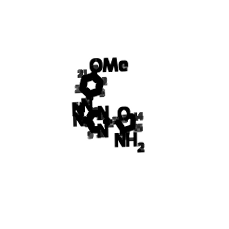 COc1ccc(-n2nnc3cnc([C@@H]4OCCC4N)nc32)cc1